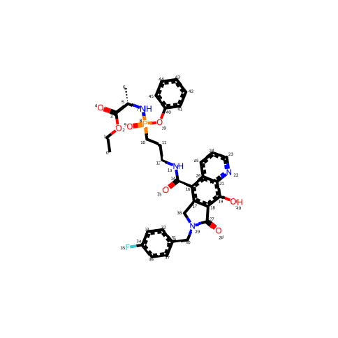 CCOC(=O)[C@H](C)NP(=O)(CCCNC(=O)c1c2c(c(O)c3ncccc13)C(=O)N(Cc1ccc(F)cc1)C2)Oc1ccccc1